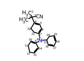 CC(C)(C#N)C1=CC=C(N(C2=CCCC=C2)C2C=CC=CC2)CC1